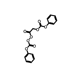 O=C(COC(=O)Oc1ccccc1)OOC(=O)Oc1ccccc1